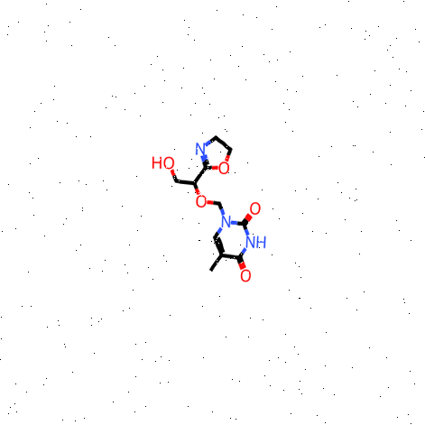 Cc1cn(COC(CO)C2=NCCO2)c(=O)[nH]c1=O